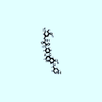 CC/C(=C\C(=C/COC)CNC(=O)C(=O)Nc1ccc(Oc2ccnc3cc(OCC4CCNCC4)c(OC)cc23)c(F)c1)OC